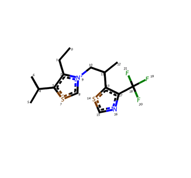 CCc1c(C(C)C)sc[n+]1CC(C)c1scnc1C(F)(F)F